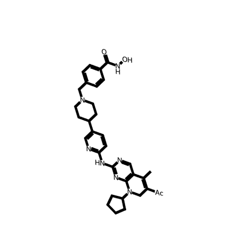 CC(=O)C1=C(C)c2cnc(Nc3ccc(C4CCN(Cc5ccc(C(=O)NO)cc5)CC4)cn3)nc2N(C2CCCC2)C1